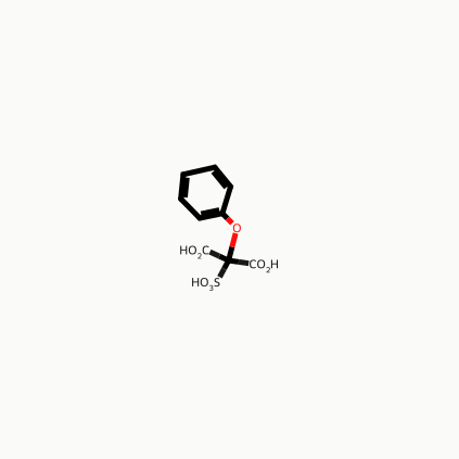 O=C(O)C(Oc1ccccc1)(C(=O)O)S(=O)(=O)O